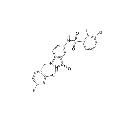 Cc1c(Cl)cccc1S(=O)(=O)Nc1ccc2c(c1)c(=O)[nH]n2Cc1ccc(F)cc1Cl